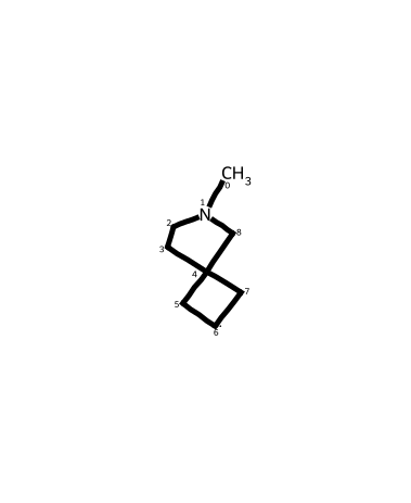 CN1CCC2(C[CH]C2)C1